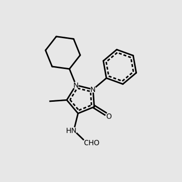 Cc1c(NC=O)c(=O)n(-c2ccccc2)n1C1CCCCC1